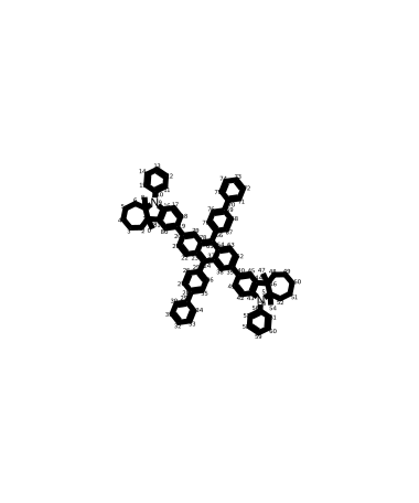 CC12CCCCCC1(C)N(c1ccccc1)c1ccc(-c3ccc4c(-c5ccc(-c6ccccc6)cc5)c5cc(-c6ccc7c(c6)C6(C)CCCCCC6(C)N7c6ccccc6)ccc5c(-c5ccc(-c6ccccc6)cc5)c4c3)cc12